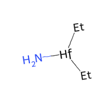 C[CH2][Hf]([NH2])[CH2]C